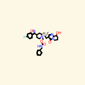 Cc1nc2n(c(=O)c1CC[N+]1(COC(=O)NCc3ccccc3)CCC(c3noc4cc(F)ccc34)CC1)CCCC2O